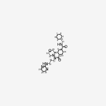 O=C(NCc1ccccc1)c1ccc(C(=O)N(CCCNc2ncccn2)N2CCOCC2)cc1